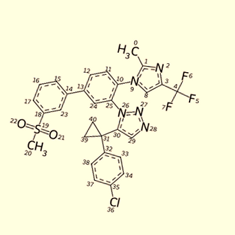 Cc1nc(C(F)(F)F)cn1-c1ccc(-c2cccc(S(C)(=O)=O)c2)cc1-n1nncc1C1(c2ccc(Cl)cc2)CC1